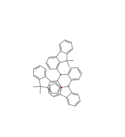 CC1(C)c2ccccc2-c2c(N(c3ccccc3-n3c4ccccc4c4ccccc43)c3cccc4c3C(C)(C)c3ccccc3-4)cccc21